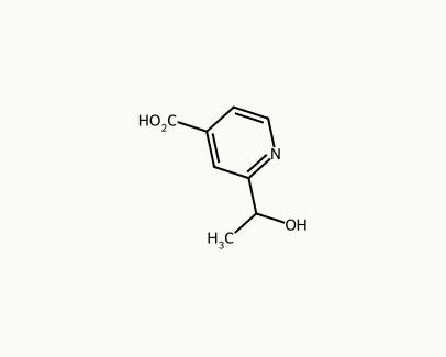 CC(O)c1cc(C(=O)O)ccn1